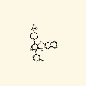 CC(C)S(=O)(=O)N1CCN(c2cnn(-c3cccc(F)c3)c(=O)c2Oc2ccc3ccccc3c2)CC1